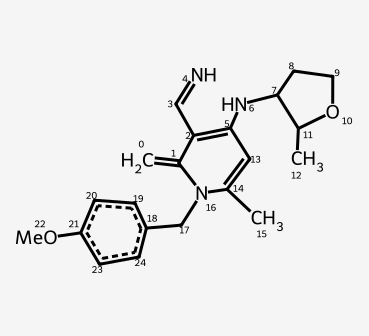 C=C1C(C=N)=C(NC2CCOC2C)C=C(C)N1Cc1ccc(OC)cc1